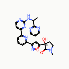 CC(Nc1nccc(-c2cccc(-c3cc([C@]4(O)CCN(C)C4=O)on3)n2)n1)c1ncccn1